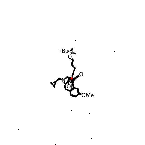 COc1ccc2c(c1)C13CCN(CC4CC4)C(C2)C1(O)CCN(CCCO[Si](C)(C)C(C)(C)C)C(=O)C3